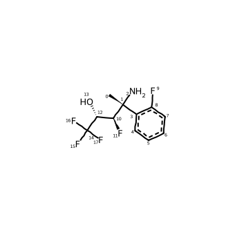 C[C@@](N)(c1ccccc1F)[C@@H](F)[C@@H](O)C(F)(F)F